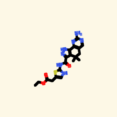 CCOC(=O)CC1=CNC(NC(=O)c2n[nH]c3c2C(C)(C)Cc2cnc(N)nc2-3)S1